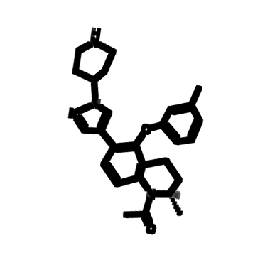 CC(=O)N1c2ccc(-c3cnn(C4CCNCC4)c3)c(Oc3cccc(C)c3)c2CC[C@@H]1C